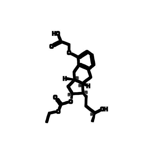 CCOC(=O)O[C@@H]1C[C@@H]2Cc3c(cccc3OCC(=O)O)C[C@@H]2[C@H]1CC[C@H](C)O